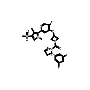 Cc1c(S(C)(=O)=O)nn(C)c1-c1cc(OC2CN(C(=O)N3N=CC[C@H]3c3cc(F)cc(F)c3)C2)c(F)cn1